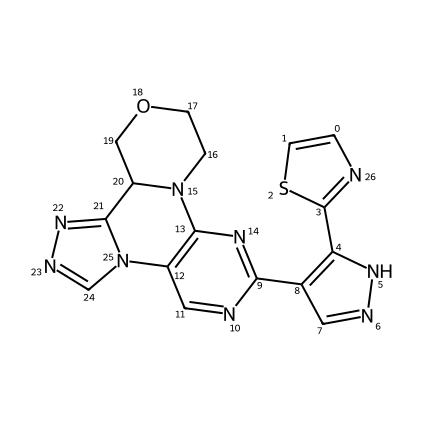 c1csc(-c2[nH]ncc2-c2ncc3c(n2)N2CCOCC2c2nncn2-3)n1